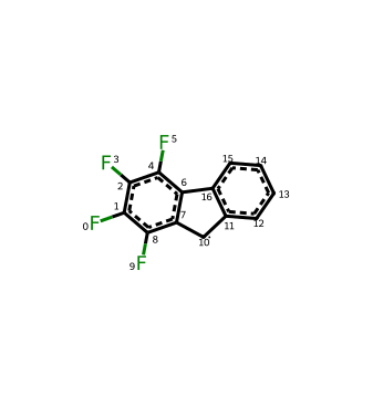 Fc1c(F)c(F)c2c(c1F)[CH]c1ccccc1-2